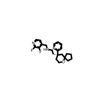 Fc1nccc(CNCC[C@@]2(c3ccccn3)CCOC3(CCCC3)C2)c1F